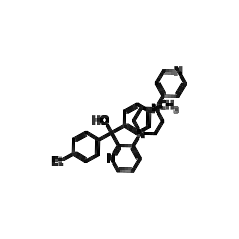 CCc1ccc(C(O)(c2ccc(C)cc2)c2ncccc2N2CCN(c3ccncc3)CC2)cc1